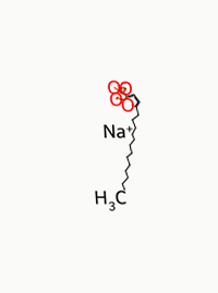 CCCCCCCCCCCCCCc1ccc(S(=O)(=O)[O-])o1.[Na+]